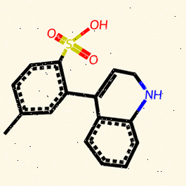 Cc1ccc(S(=O)(=O)O)c(C2=CCNc3ccccc32)c1